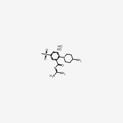 CS(=O)(=O)c1ccc(N2CCC(N)CC2)c(C(=O)N=C(N)N)c1.Cl.Cl